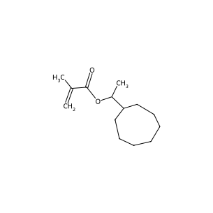 C=C(C)C(=O)OC(C)C1CCCCCCC1